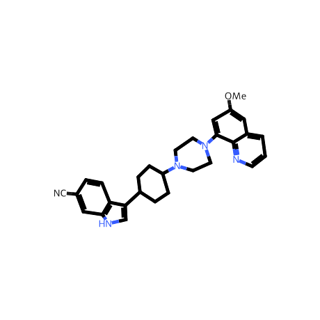 COc1cc(N2CCN(C3CCC(c4c[nH]c5cc(C#N)ccc45)CC3)CC2)c2ncccc2c1